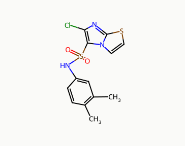 Cc1ccc(NS(=O)(=O)c2c(Cl)nc3sccn23)cc1C